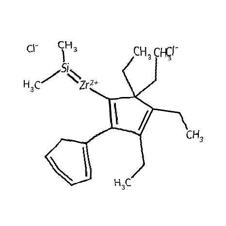 CCC1=C(CC)C(CC)(CC)[C]([Zr+2]=[Si](C)C)=C1C1=CC=CC1.[Cl-].[Cl-]